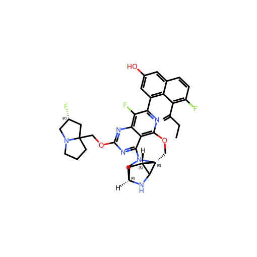 C=C(CC)c1c(F)ccc2cc(O)cc(-c3nc4c5c(nc(OCC67CCCN6C[C@H](F)C7)nc5c3F)N3C[C@H]5C[C@H]6C(N5)[C@@]63CO4)c12